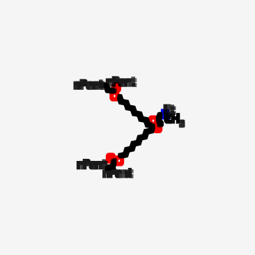 CCCCCC(CCCCC)CC(=O)OCCCCCCCCCCC1(CCCCCCCCCCOC(=O)CC(CCCCC)CCCCC)OCC(CN(C)CC)O1